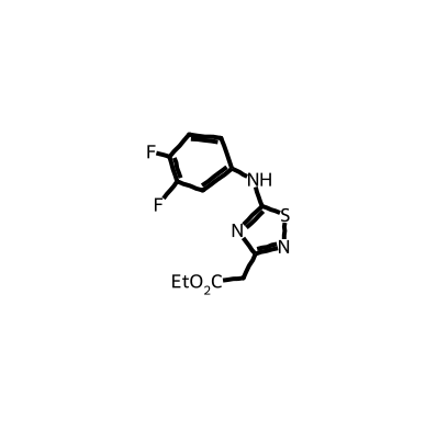 CCOC(=O)Cc1nsc(Nc2ccc(F)c(F)c2)n1